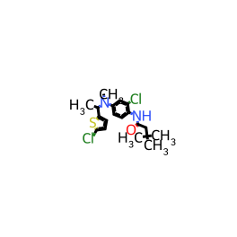 CC(c1ccc(Cl)s1)N(C)c1ccc(NC(=O)CC(C)(C)C)c(Cl)c1